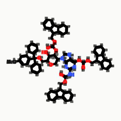 COc1ccc(C(OCC2OCC(n3cnc4c(OC(=O)OCC5c6ccccc6-c6ccccc65)nc(NC(=O)OCC5c6ccccc6-c6ccccc65)nc43)[C@@H](OC(=O)OCC3c4ccccc4-c4ccccc43)C2O)(c2ccccc2)c2ccccc2)cc1